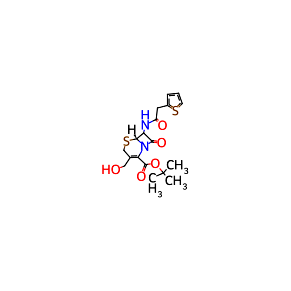 CC(C)(C)OC(=O)C1=C(CO)CS[C@@H]2C(NC(=O)Cc3cccs3)C(=O)N12